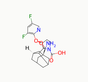 NC(=O)[C@]12CC3CC(C1)C(C1[C@@H](Oc4ncc(F)cc4F)CCN1C(=O)O)[C@@H](C3)C2